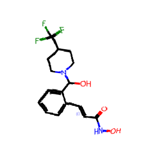 O=C(/C=C/c1ccccc1C(O)N1CCC(C(F)(F)F)CC1)NO